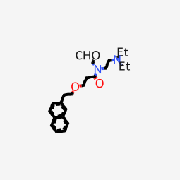 CCN(CC)CCN(CC=O)C(=O)CCOCCc1ccc2ccccc2c1